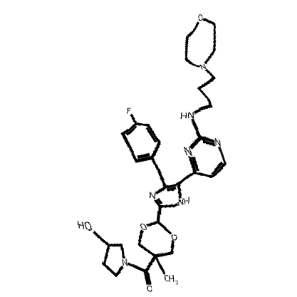 CC1(C(=O)N2CCC(O)C2)COC(c2nc(-c3ccc(F)cc3)c(-c3ccnc(NCCCN4CCOCC4)n3)[nH]2)OC1